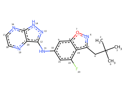 CC(C)(C)Cc1noc2cc(Nc3n[nH]c4nccnc34)cc(F)c12